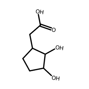 O=C(O)CC1CCC(O)C1O